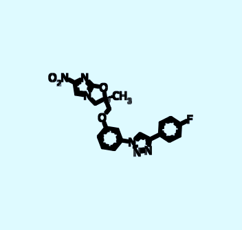 C[C@]1(COc2cccc(-n3cc(-c4ccc(F)cc4)nn3)c2)Cn2cc([N+](=O)[O-])nc2O1